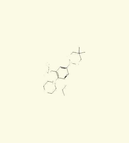 CC(C)[C@@H]1COCCN1c1ccc(B2OCC(C)(C)CO2)cc1[N+](=O)[O-]